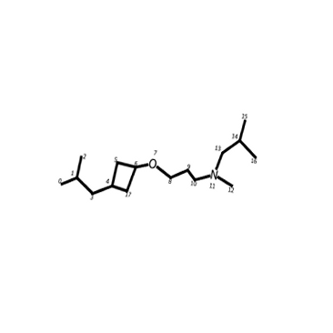 CC(C)CC1CC(OCCCN(C)CC(C)C)C1